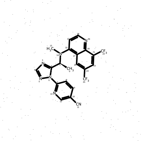 C[C@@H](c1ncnn1-c1ccc(C#N)cn1)N(C)c1ccnc2c(C(F)(F)F)cc(C(F)(F)F)cc12